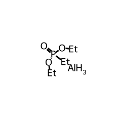 CCOP(=O)(CC)OCC.[AlH3]